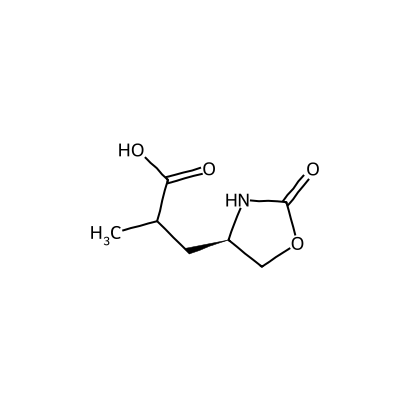 CC(C[C@@H]1COC(=O)N1)C(=O)O